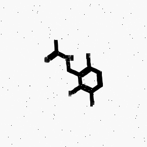 CC(=O)NCc1c(F)ccc(F)c1F